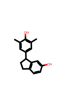 Cc1cc(C2CCc3ccc(O)cc32)cc(C)c1O